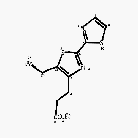 CCOC(=O)CCc1nc(-c2nccs2)sc1CC(C)C